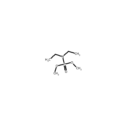 CCN(CC)P(=O)(OC)OC